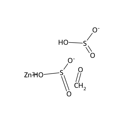 C=O.O=S([O-])O.O=S([O-])O.[Zn+2]